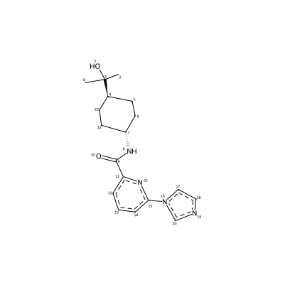 CC(C)(O)[C@H]1CC[C@H](NC(=O)c2cccc(-n3ccnc3)n2)CC1